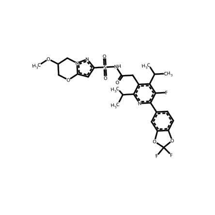 COC1COc2cc(S(=O)(=O)NC(=O)Cc3c(C(C)C)nc(-c4ccc5c(c4)OC(F)(F)O5)c(F)c3C(C)C)nn2C1